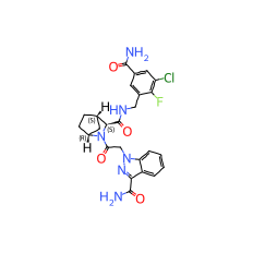 NC(=O)c1cc(Cl)c(F)c(CNC(=O)[C@@H]2[C@H]3CC[C@H](C3)N2C(=O)Cn2nc(C(N)=O)c3ccccc32)c1